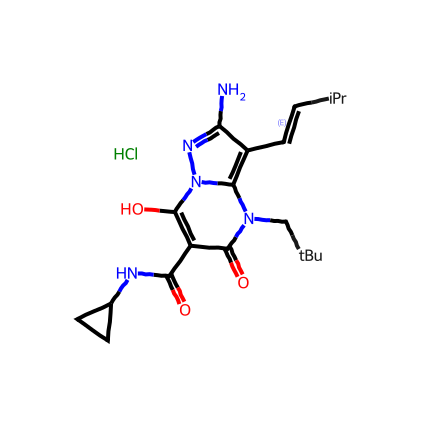 CC(C)/C=C/c1c(N)nn2c(O)c(C(=O)NC3CC3)c(=O)n(CC(C)(C)C)c12.Cl